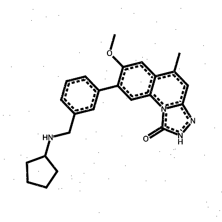 COc1cc2c(C)cc3n[nH]c(=O)n3c2cc1-c1cccc(CNC2CCCC2)c1